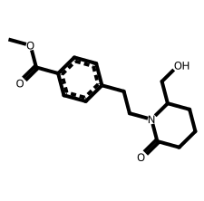 COC(=O)c1ccc(CCN2C(=O)CCCC2CO)cc1